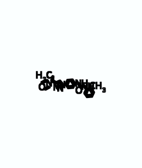 CCC(c1cn(-c2ccc(NC(=O)Nc3ccccc3C)cc2)nn1)N1CCOCC1